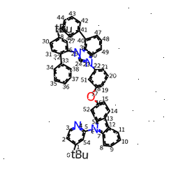 CC(C)(C)c1ccnc(-n2c3ccccc3c3ccc(Oc4cccc(-n5c[n+](-c6cc(C(C)(C)C)ccc6-c6ccccc6)c6c(-c7ccccc7)cccc65)c4)cc32)c1